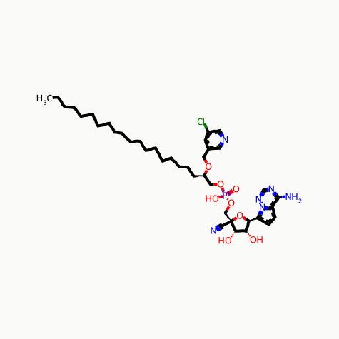 CCCCCCCCCCCCCCCCCCC[C@H](COP(=O)(O)OC[C@@]1(C#N)O[C@@H](c2ccc3c(N)ncnn23)[C@H](O)[C@@H]1O)OCc1cncc(Cl)c1